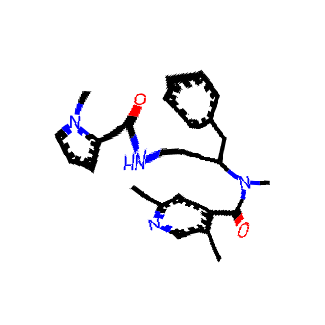 Cc1cc(C(=O)N(C)C(CCNC(=O)c2cccn2C)Cc2ccccc2)c(C)cn1